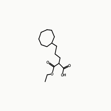 CCOC(=O)C(CCCC1CCCCCCC1)C(=O)O